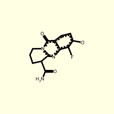 NC(=O)C1CCCn2c1nc1c(F)c(Cl)ccc1c2=O